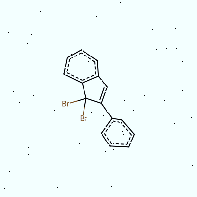 BrC1(Br)C(c2ccccc2)=Cc2ccccc21